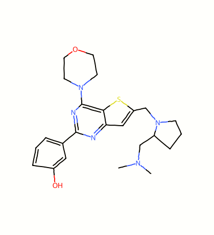 CN(C)CC1CCCN1Cc1cc2nc(-c3cccc(O)c3)nc(N3CCOCC3)c2s1